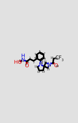 O=C(CCc1ccccc1N1CCCC12CN(C(=O)CC(F)(F)F)C2)NO